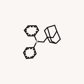 c1ccc([S+](CC23CC4CC(CC(C4)C2)C3)c2ccccc2)cc1